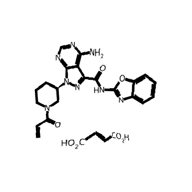 C=CC(=O)N1CCC[C@@H](n2nc(C(=O)Nc3nc4ccccc4o3)c3c(N)ncnc32)C1.O=C(O)/C=C/C(=O)O